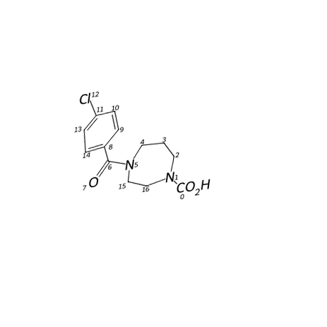 O=C(O)N1CCCN(C(=O)c2ccc(Cl)cc2)CC1